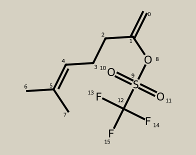 C=C(CCC=C(C)C)OS(=O)(=O)C(F)(F)F